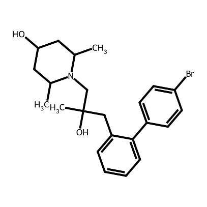 CC1CC(O)CC(C)N1CC(C)(O)Cc1ccccc1-c1ccc(Br)cc1